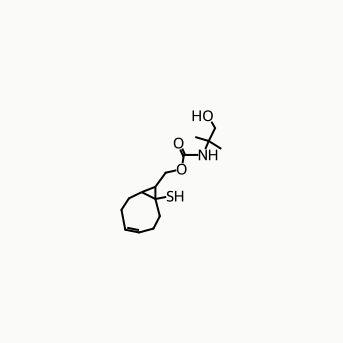 CC(C)(CO)NC(=O)OCC1C2CC/C=C\CCC21S